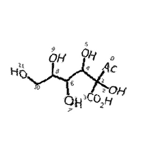 CC(=O)C(O)(C(=O)O)C(O)C(O)C(O)CO